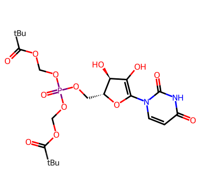 CC(C)(C)C(=O)OCOP(=O)(OCOC(=O)C(C)(C)C)OC[C@H]1OC(n2ccc(=O)[nH]c2=O)=C(O)[C@@H]1O